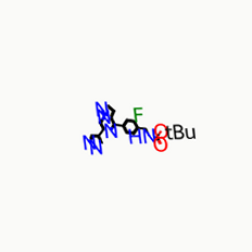 Cn1cc(-c2cn3nccc3c(-c3ccc(CNC(=O)OC(C)(C)C)c(F)c3)n2)cn1